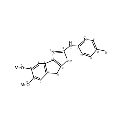 COc1cc2c(cc1OC)-c1nc(Nc3ccc(C)cn3)sc1C2